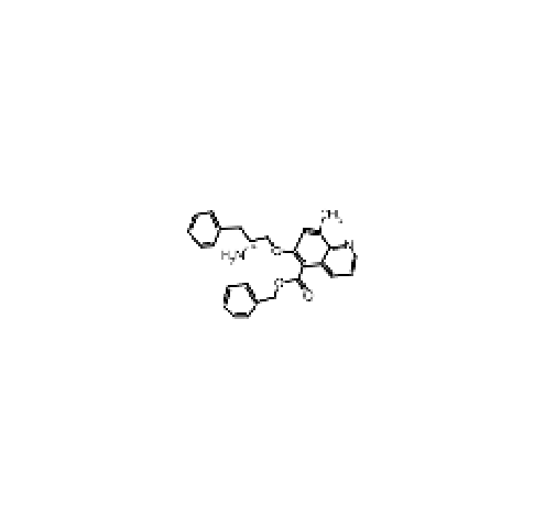 Cc1cc(OC[C@H](N)Cc2ccccc2)c(C(=O)OCc2ccccc2)c2cccnc12